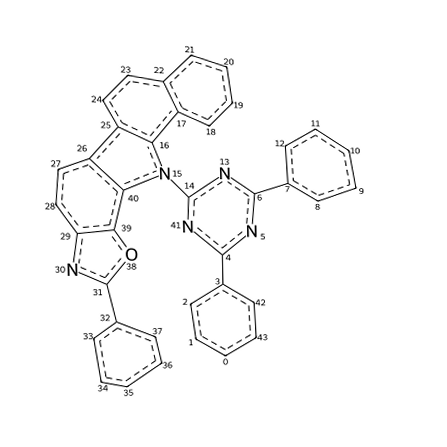 c1ccc(-c2nc(-c3ccccc3)nc(-n3c4c5ccccc5ccc4c4ccc5nc(-c6ccccc6)oc5c43)n2)cc1